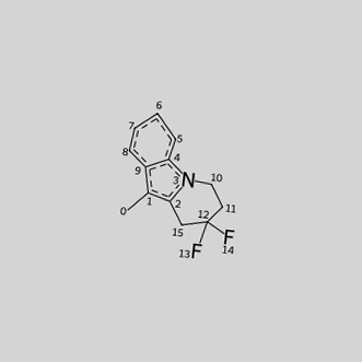 Cc1c2n(c3ccccc13)CCC(F)(F)C2